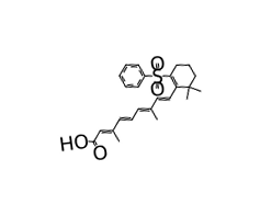 CC(/C=C/C1=C(S(=O)(=O)c2ccccc2)CCCC1(C)C)=C\C=C\C(C)=C\C(=O)O